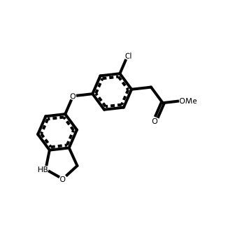 COC(=O)Cc1ccc(Oc2ccc3c(c2)COB3)cc1Cl